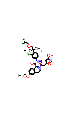 COc1ccc2c(c1)CCN(C(=O)Cc1cc(O)no1)[C@H]2C(=O)Nc1ccc(C(C)(C)COCC(F)F)c(F)c1